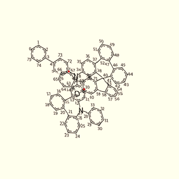 c1ccc(-c2ccc(N(c3ccc4c(c3)-c3ccccc3-c3ccccc3N4c3ccccc3)c3ccc4c(c3)C3(c5ccccc5-c5ccccc5-4)c4ccccc4-c4cc5oc6ccccc6c5cc43)cc2)cc1